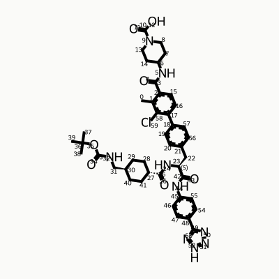 Cc1c(C(=O)NC2CCN(C(=O)O)CC2)ccc(-c2ccc(C[C@H](NC(=O)[C@H]3CC[C@H](CNC(=O)OC(C)(C)C)CC3)C(=O)Nc3ccc(-c4nn[nH]n4)cc3)cc2)c1Cl